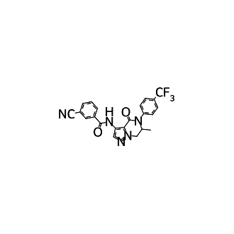 CC1Cn2ncc(NC(=O)c3cccc(C#N)c3)c2C(=O)N1c1ccc(C(F)(F)F)cc1